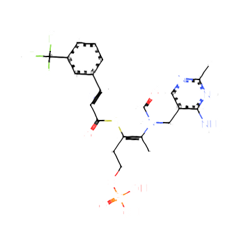 C/C(=C(\CCOP(=O)(O)O)SC(=O)/C=C/c1cccc(C(F)(F)F)c1)N(C=O)Cc1cnc(C)nc1N